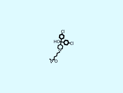 CN(C)C(=O)CCCCN1CCC(C(O)(c2ccc(Cl)cc2)c2ccc(Cl)cc2)CC1